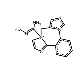 NC(=NO)[N+]12C=CN=C1c1ccccc1-n1cncc1C2